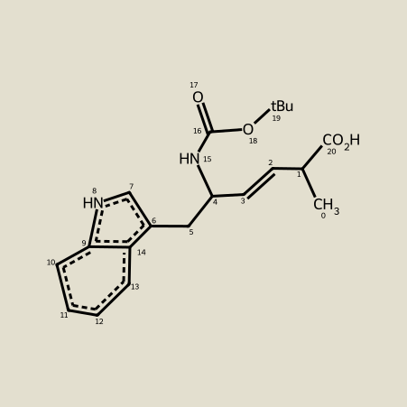 CC(C=CC(Cc1c[nH]c2ccccc12)NC(=O)OC(C)(C)C)C(=O)O